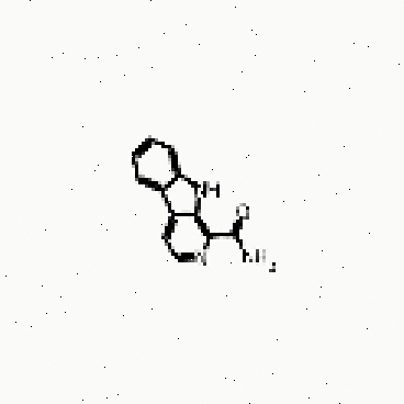 NC(=O)c1nccc2c1[nH]c1ccccc12